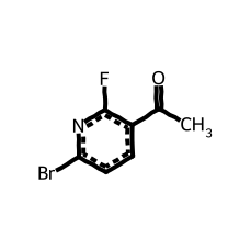 CC(=O)c1ccc(Br)nc1F